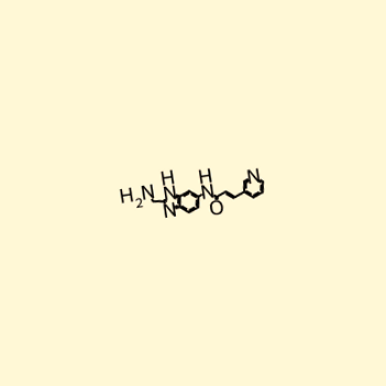 NCc1nc2ccc(NC(=O)/C=C/c3cccnc3)cc2[nH]1